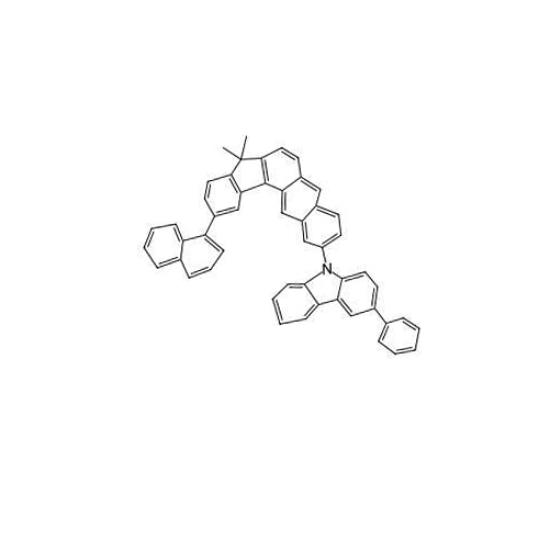 CC1(C)c2ccc(-c3cccc4ccccc34)cc2-c2c1ccc1cc3ccc(-n4c5ccccc5c5cc(-c6ccccc6)ccc54)cc3cc21